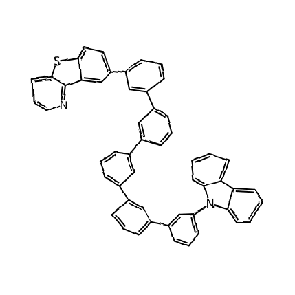 c1cc(-c2cccc(-c3cccc(-c4ccc5sc6cccnc6c5c4)c3)c2)cc(-c2cccc(-c3cccc(-n4c5ccccc5c5ccccc54)c3)c2)c1